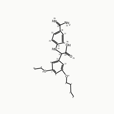 CCCCOc1cc(OCC)cc(C(Nc2ccc(C(=N)N)cc2)C(=O)O)c1